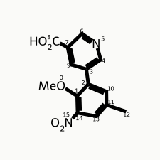 COc1c(-c2cncc(C(=O)O)c2)cc(C)cc1[N+](=O)[O-]